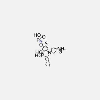 CCCCC1(CCCC)CN(c2ccc(NC(=O)CC)cc2)c2cc(SC)c(O/C=C(\F)C(=O)O)cc2S(O)(O)C1